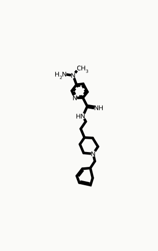 CN(N)c1ccc(C(=N)NCCC2CCN(CC3C=CC=CC3)CC2)nc1